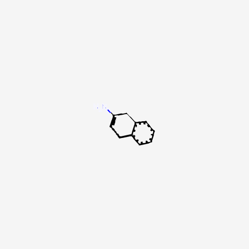 NC1=CCc2ccccc2[CH]1